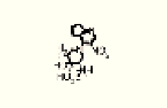 C[C@H]1CN(c2c([N+](=O)[O-])cnc3c2CCC3)C[C@@H](NC(=O)O)C1(C)O